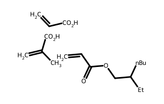 C=C(C)C(=O)O.C=CC(=O)O.C=CC(=O)OCC(CC)CCCC